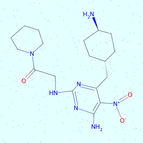 Nc1nc(NCC(=O)N2CCCCC2)nc(C[C@H]2CC[C@H](N)CC2)c1[N+](=O)[O-]